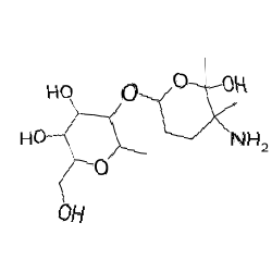 CC1OC(CO)C(O)C(O)C1OC1CCC(C)(N)C(C)(O)O1